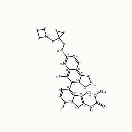 CC(C)(C)OC(=O)Nc1sc2c(F)cnc(-c3c4c(c5cnc(OCC6(CN7CCC7)CC6)nc5c3F)COC4)c2c1C#N